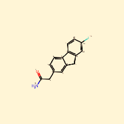 NC(=O)Cc1ccc2c(c1)Cc1cc(F)ccc1-2